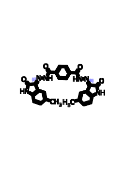 Cc1ccc2c(c1)/C(=N\NC(=O)c1ccc(C(=O)N/N=C3/C(=O)Nc4ccc(C)cc43)cc1)C(=O)N2